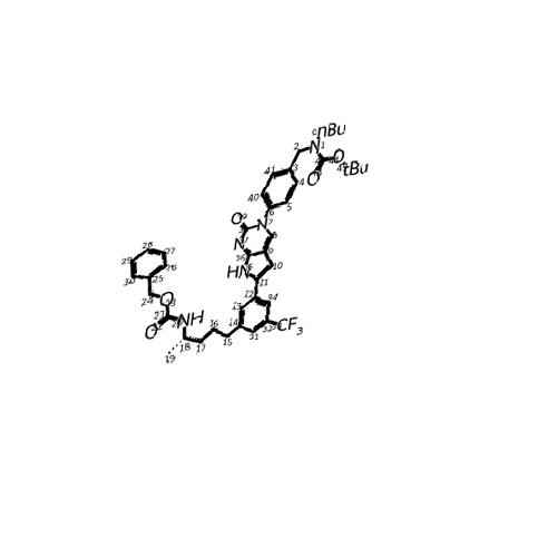 CCCCN(Cc1ccc(-n2cc3cc(-c4cc(CCC[C@H](C)NC(=O)OCc5ccccc5)cc(C(F)(F)F)c4)[nH]c3nc2=O)cc1)C(=O)OC(C)(C)C